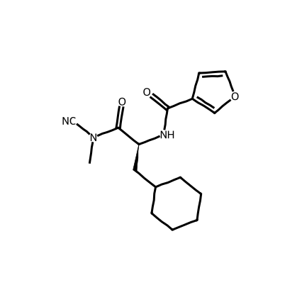 CN(C#N)C(=O)[C@H](CC1CCCCC1)NC(=O)c1ccoc1